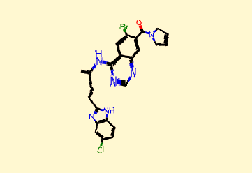 CC(CCc1nc2cc(Cl)ccc2[nH]1)Nc1ncnc2cc(C(=O)N3CC=CC3)c(Br)cc12